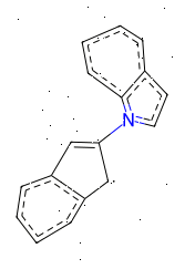 [CH]1C(n2ccc3ccccc32)=Cc2ccccc21